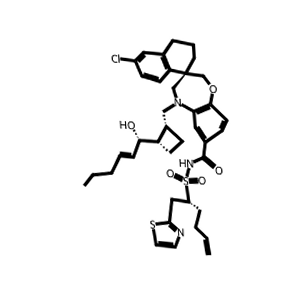 C=CCC[C@H](Cc1nccs1)S(=O)(=O)NC(=O)c1ccc2c(c1)N(C[C@@H]1CC[C@@H]1[C@@H](O)/C=C/CCC)C[C@@]1(CCCc3cc(Cl)ccc31)CO2